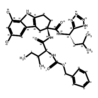 CCC(C)[C@H](NC(=O)OCc1ccccc1)C(=O)N[C@]1(C(=O)N[C@@H](CC(C)C)c2nnn[nH]2)CCc2[nH]c3c(Cl)cc(Cl)cc3c2C1